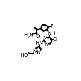 C=C(C(N)=O)c1ccc(F)c(Nc2nc(Nc3cnn(CCO)c3)ncc2Cl)c1